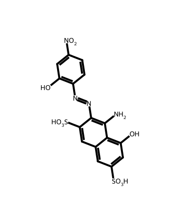 Nc1c(N=Nc2ccc([N+](=O)[O-])cc2O)c(S(=O)(=O)O)cc2cc(S(=O)(=O)O)cc(O)c12